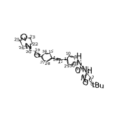 CC(C)(C)c1cc(NC(=O)Nc2ccc(C#Cc3ccc(OCCN4CCOCC4)cc3)cc2)no1